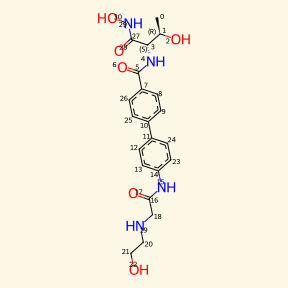 C[C@@H](O)[C@H](NC(=O)c1ccc(-c2ccc(NC(=O)CNCCO)cc2)cc1)C(=O)NO